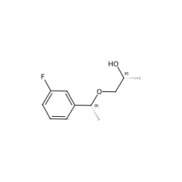 C[C@@H](O)CO[C@H](C)c1[c]ccc(F)c1